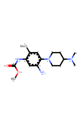 COc1cc(N2CCC(N(C)C)CC2)c(N)cc1NC(=O)OC(C)(C)C